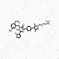 Cc1nn(COCCS(C)(C)C)c(C)c1-c1ccc(NC(=O)[C@@H](NC(=O)c2ccnn2C)[C@H]2CCCc3ccc(C#N)cc32)cc1